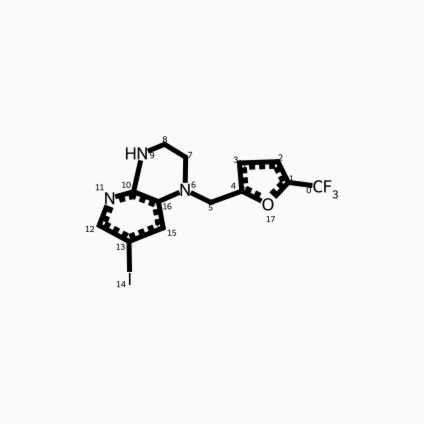 FC(F)(F)c1ccc(CN2CCNc3ncc(I)cc32)o1